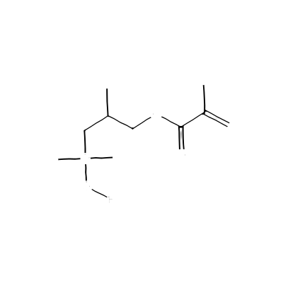 C=C(C)C(=O)OCC(C)C[Si](C)(C)OCC